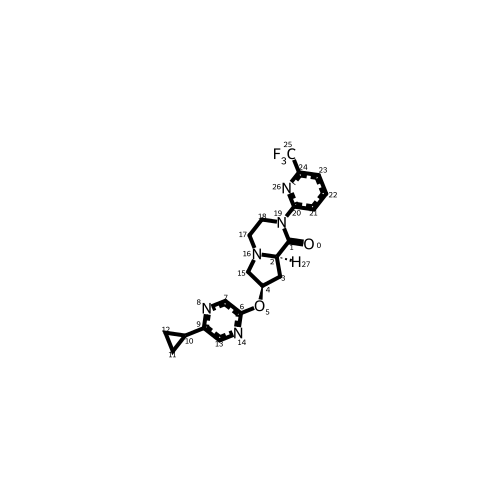 O=C1[C@H]2C[C@@H](Oc3cnc(C4CC4)cn3)CN2CCN1c1cccc(C(F)(F)F)n1